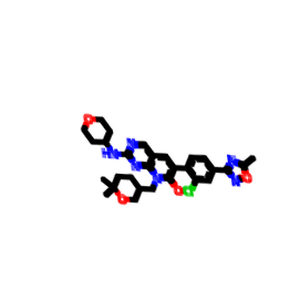 Cc1nc(-c2ccc(-c3cc4cnc(NC5CCOCC5)nc4n(CC4CCC(C)(C)OC4)c3=O)c(Cl)c2)no1